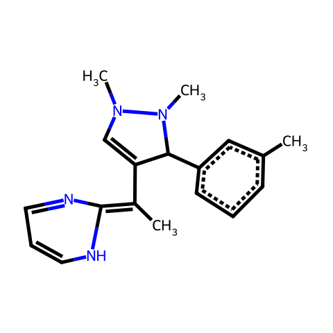 C/C(C1=CN(C)N(C)C1c1cccc(C)c1)=C1/N=CC=CN1